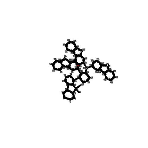 CC1(C)c2ccccc2-c2cccc(-c3cccc(N(c4ccc5c(c4)sc4ccccc45)c4ccc5oc6ccccc6c5c4)c3-c3ccc4sc5ccccc5c4c3)c21